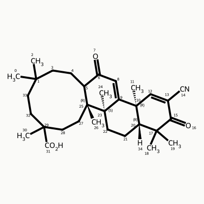 CC1(C)CCC2C(=O)C=C3[C@@]4(C)C=C(C#N)C(=O)C(C)(C)[C@@H]4CC[C@@]3(C)[C@]2(C)CCC(C)(C(=O)O)CC1